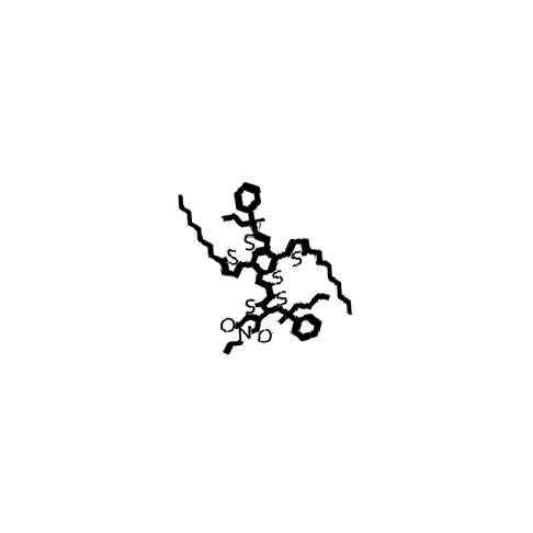 C=CCN1C(=O)c2sc3c(-c4cc5c(-c6ccc(CCCCCCCC)s6)c6sc([C@](C)(CCC)c7ccccc7)cc6c(-c6ccc(CCCCCCCC)s6)c5s4)sc(C(C)(CCCC)c4ccccc4)c3c2C1=O